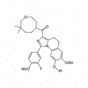 COc1ccc(-c2nc(C(=O)C3CCOCC(C)(C)CC3)c3n2-c2cc(OC(C)C)c(OC)cc2CC3)cc1F